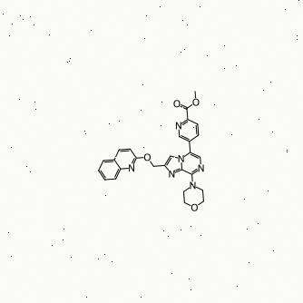 COC(=O)c1ccc(-c2cnc(N3CCOCC3)c3nc(COc4ccc5ccccc5n4)cn23)cn1